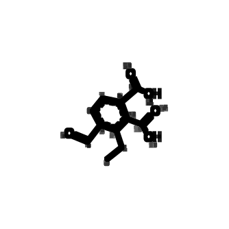 CCc1c(C=O)ccc(C(=O)O)c1C(=O)O